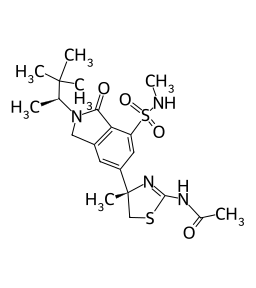 CNS(=O)(=O)c1cc([C@@]2(C)CSC(NC(C)=O)=N2)cc2c1C(=O)N([C@@H](C)C(C)(C)C)C2